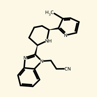 Cc1cccnc1[C@@H]1CCC[C@H](c2nc3ccccc3n2CCC#N)N1